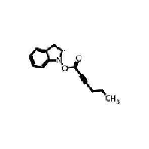 CCCC#CC(=O)ON1[CH]Cc2ccccc21